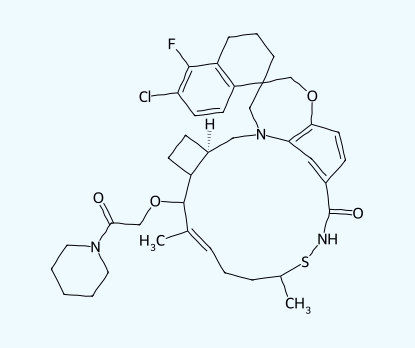 C/C1=C\CCC(C)SNC(=O)c2ccc3c(c2)N(C[C@@H]2CCC2C1OCC(=O)N1CCCCC1)CC1(CCCc2c1ccc(Cl)c2F)CO3